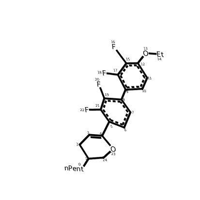 CCCCCC1CC=C(c2ccc(-c3ccc(OCC)c(F)c3F)c(F)c2F)OC1